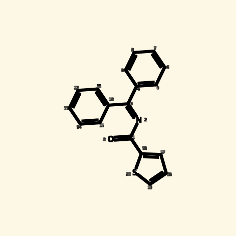 O=C(N=C(c1ccccc1)c1ccccc1)c1cccs1